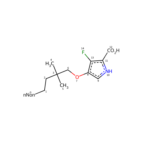 CCCCCCCCCCCC(C)(C)COc1c[nH]c(C(=O)O)c1F